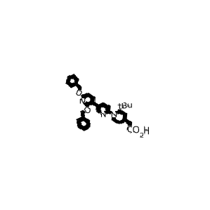 CC(C)(C)C1CC(CC(=O)O)CCN1c1ccc(-c2ccc(OCc3ccccc3)nc2OCc2ccccc2)cn1